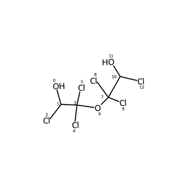 OC(Cl)C(Cl)(Cl)OC(Cl)(Cl)C(O)Cl